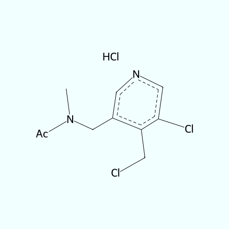 CC(=O)N(C)Cc1cncc(Cl)c1CCl.Cl